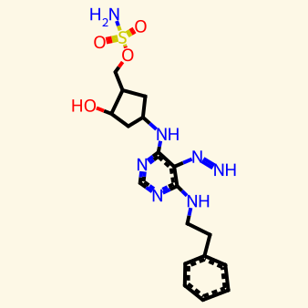 N=Nc1c(NCCc2ccccc2)ncnc1NC1CC(O)C(COS(N)(=O)=O)C1